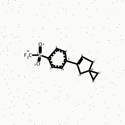 O=S(=O)(c1ccc(C2=CCC3(CC3)C2)cc1)C(F)(F)F